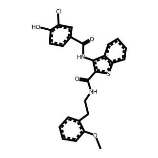 COc1ccccc1CCNC(=O)c1sc2ccccc2c1NC(=O)c1ccc(O)c(Cl)c1